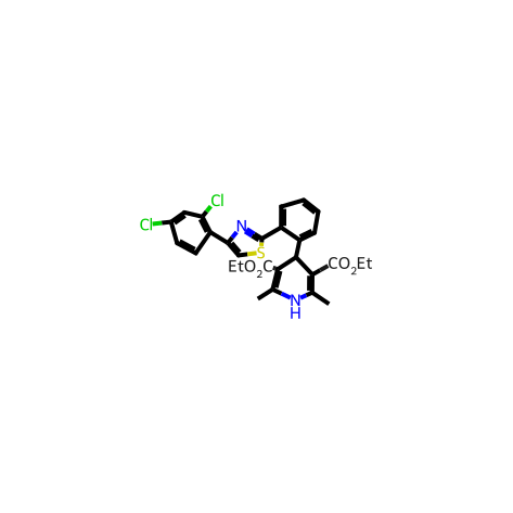 CCOC(=O)C1=C(C)NC(C)=C(C(=O)OCC)C1c1ccccc1-c1nc(-c2ccc(Cl)cc2Cl)cs1